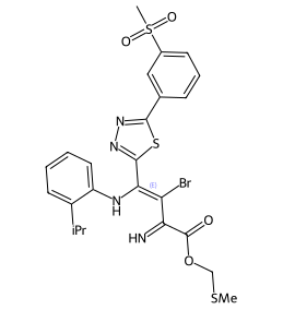 CSCOC(=O)C(=N)/C(Br)=C(\Nc1ccccc1C(C)C)c1nnc(-c2cccc(S(C)(=O)=O)c2)s1